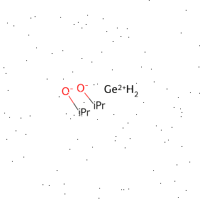 CC(C)[O-].CC(C)[O-].[GeH2+2]